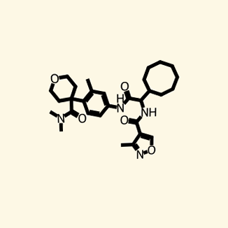 Cc1cc(NC(=O)C(NC(=O)c2conc2C)C2CCCCCCC2)ccc1C1(C(=O)N(C)C)CCOCC1